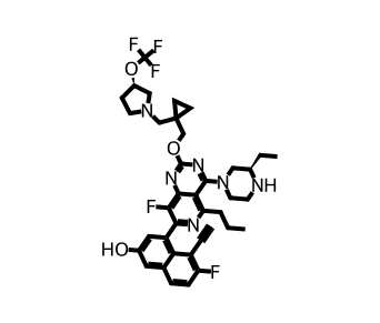 C#Cc1c(F)ccc2cc(O)cc(-c3nc(CCC)c4c(N5CCN[C@H](CC)C5)nc(OCC5(CN6CC[C@H](OC(F)(F)F)C6)CC5)nc4c3F)c12